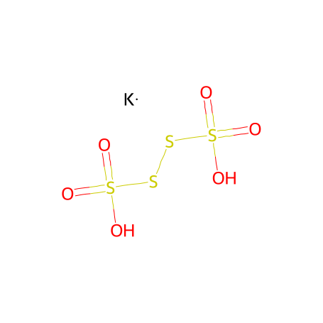 O=S(=O)(O)SSS(=O)(=O)O.[K]